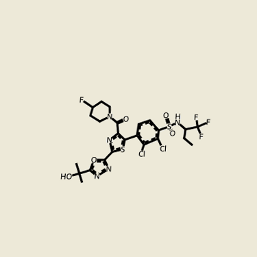 CCC(NS(=O)(=O)c1ccc(-c2sc(-c3nnc(C(C)(C)O)o3)nc2C(=O)N2CCC(F)CC2)c(Cl)c1Cl)C(F)(F)F